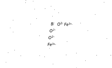 [B].[Fe+3].[Fe+3].[O-2].[O-2].[O-2]